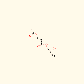 C=C[C@@H](O)COC(=O)CCOC(C)=O